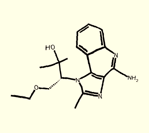 CCOC[C@@H](n1c(C)nc2c(N)nc3ccccc3c21)C(C)(C)O